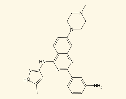 Cc1cc(Nc2nc(-c3cccc(N)c3)nc3cc(N4CCN(C)CC4)ccc23)n[nH]1